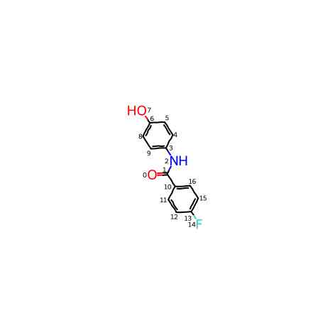 O=C(Nc1ccc(O)cc1)c1ccc(F)cc1